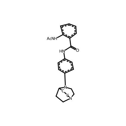 CC(=O)Nc1ccccc1C(=O)Nc1ccc(N2CCN3CCC2CC3)cc1